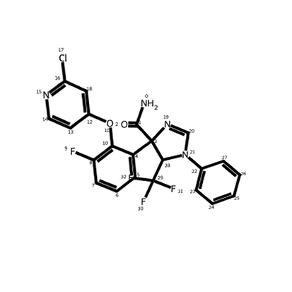 NC(=O)C1(c2cccc(F)c2Oc2ccnc(Cl)c2)N=CN(c2ccccc2)C1C(F)(F)F